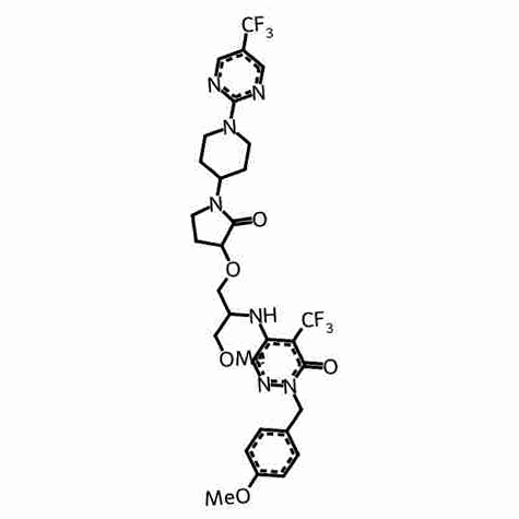 COCC(COC1CCN(C2CCN(c3ncc(C(F)(F)F)cn3)CC2)C1=O)Nc1cnn(Cc2ccc(OC)cc2)c(=O)c1C(F)(F)F